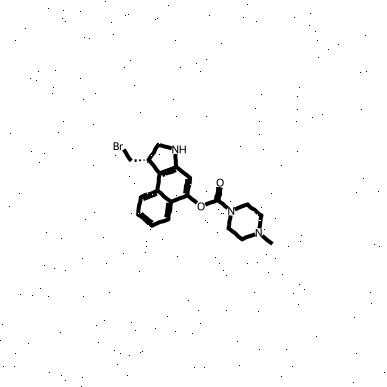 CN1CCN(C(=O)Oc2cc3c(c4ccccc24)[C@H](CBr)CN3)CC1